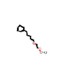 O=COCCOCCCCCc1ccccc1